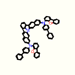 c1ccc(-c2ccc(N(c3ccc4cc5c6cccc7c8cc9ccc(N(c%10ccc(-c%11ccccc%11)cc%10)c%10cccc%11c%10oc%10ccccc%10%11)cc9cc8n(c5cc4c3)c67)c3cccc4c3oc3ccccc34)cc2)cc1